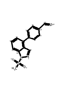 CS(=O)(=O)n1ncc2c(-c3ccc(C=O)cc3)cccc21